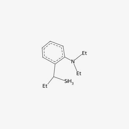 CCC([SiH3])c1ccccc1N(CC)CC